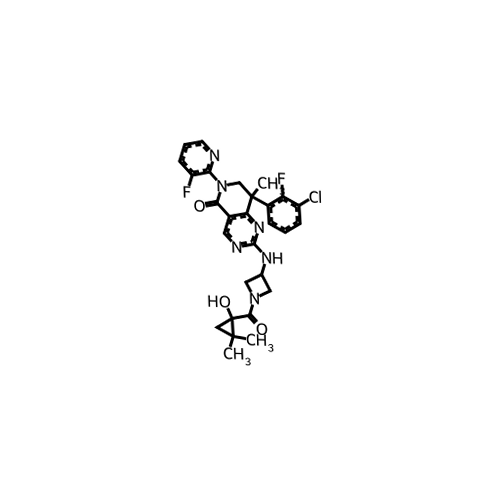 CC1(c2cccc(Cl)c2F)CN(c2ncccc2F)C(=O)c2cnc(NC3CN(C(=O)C4(O)CC4(C)C)C3)nc21